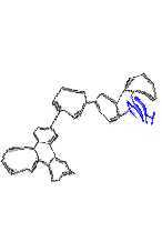 c1cc(-c2ccc3[nH]c4ccccc4c3c2)cc(-c2ccc3c4ccccc4c4ccccc4c3c2)c1